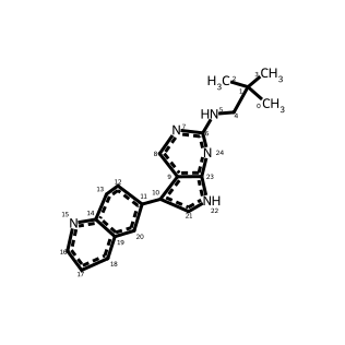 CC(C)(C)CNc1ncc2c(-c3ccc4ncccc4c3)c[nH]c2n1